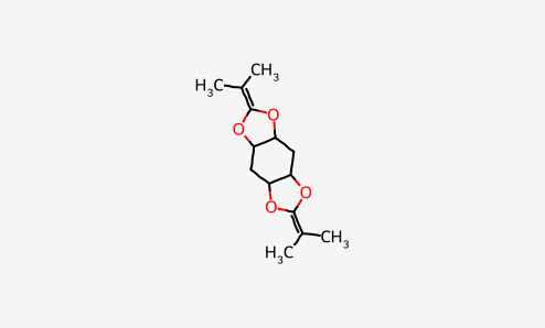 CC(C)=C1OC2CC3OC(=C(C)C)OC3CC2O1